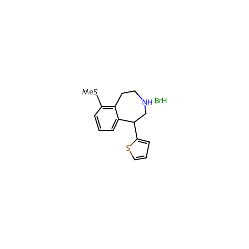 Br.CSc1cccc2c1CCNCC2c1cccs1